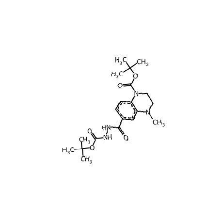 CN1CCN(C(=O)OC(C)(C)C)c2ccc(C(=O)NNC(=O)OC(C)(C)C)cc21